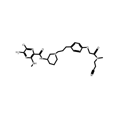 CNc1nc(N)c(Cl)nc1C(=O)NC1CCCN(CCCc2ccc(OCC(=O)N(C)CCC#N)cc2)C1